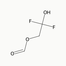 O=COCC(O)(F)F